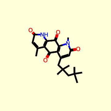 Cc1cc(=O)[nH]c2c1C(=O)c1c(CC(C)(C)CC(C)(C)C)cc(=O)n(C)c1C2=O